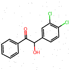 O=C(c1ccccc1)C(O)c1ccc(Cl)c(Cl)c1